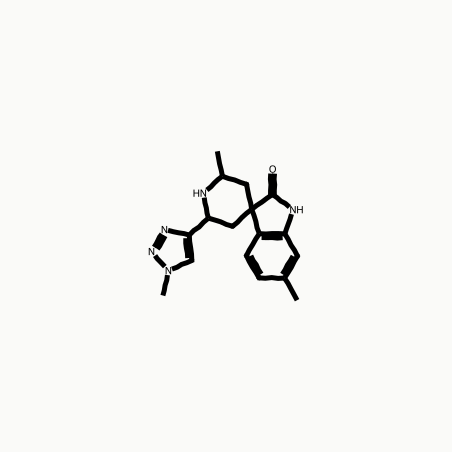 Cc1ccc2c(c1)NC(=O)C21CC(C)NC(c2cn(C)nn2)C1